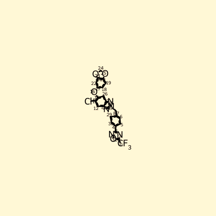 FC(F)(F)c1nc(-c2ccc(Cn3nc4cc(Cl)c(Oc5ccc6c(c5)OCO6)cc4n3)cc2)no1